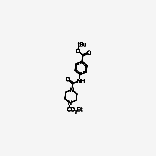 CCOC(=O)N1CCN(C(=O)Nc2ccc(C(=O)OC(C)(C)C)cc2)CC1